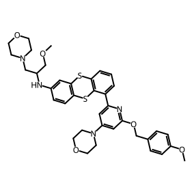 COCC(CN1CCOCC1)Nc1ccc2c(c1)Sc1cccc(-c3cc(N4CCOCC4)cc(OCc4ccc(OC)cc4)n3)c1S2